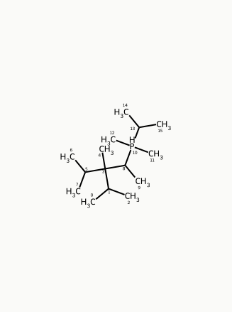 CC(C)C(C)(C(C)C)C(C)[PH](C)(C)C(C)C